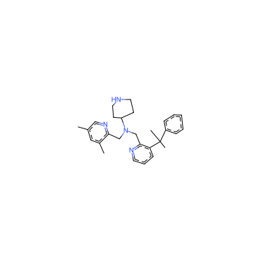 Cc1cnc(CN(Cc2ncccc2C(C)(C)c2ccccc2)C2CCNCC2)c(C)c1